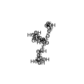 CC[C@H](COCCOCCNC(=O)[C@H](CCCCNC(=O)CO[C@H]1C[C@@H](O)[C@@H](O)[C@@H](CO)O1)NC(=O)CO[C@H]1C[C@@H](O)[C@@H](O)[C@@H](CO)O1)OP(=O)(O)OC